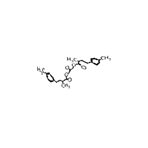 Cc1ccc(CCC(C)C(=O)OCC(=O)COC(=O)C(C)CCc2ccc(C)cc2)cc1